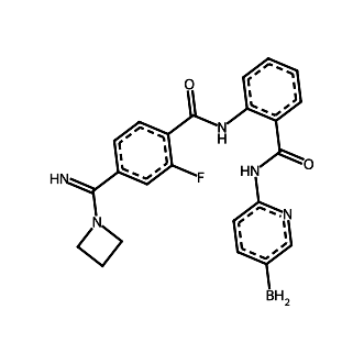 Bc1ccc(NC(=O)c2ccccc2NC(=O)c2ccc(C(=N)N3CCC3)cc2F)nc1